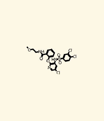 COCCNC(=O)c1ccccc1Oc1ncc(Cl)cc1NS(=O)(=O)c1ccc(Cl)c(Cl)c1